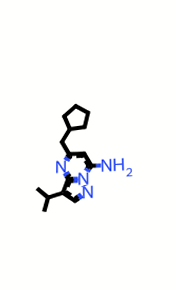 CC(C)c1cnn2c(N)cc(CC3CCCC3)nc12